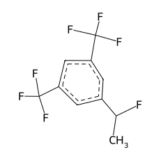 CC(F)c1cc(C(F)(F)F)cc(C(F)(F)F)c1